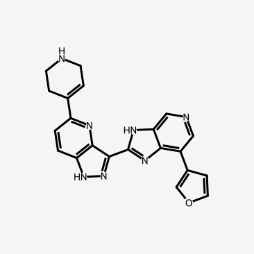 C1=C(c2ccc3[nH]nc(-c4nc5c(-c6ccoc6)cncc5[nH]4)c3n2)CCNC1